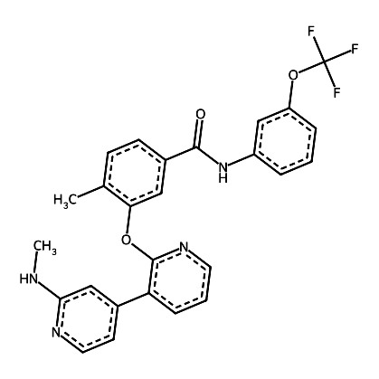 CNc1cc(-c2cccnc2Oc2cc(C(=O)Nc3cccc(OC(F)(F)F)c3)ccc2C)ccn1